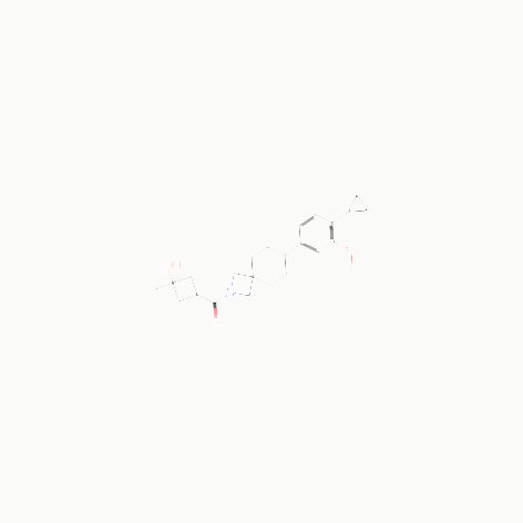 COc1cc(C2CCC3(CC2)CN(C(=O)C2CC(C)(O)C2)C3)ccc1C1CC1